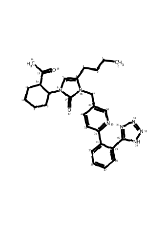 CCCCc1cn(C2CCCCC2C(C)=O)c(=O)n1Cc1ccc(-c2ccccc2-c2nnn[nH]2)nc1